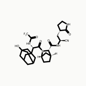 N#C[C@H](C[C@@H]1CCNC1=O)NC(=O)[C@@H]1[C@H]2CC[C@H](C2)N1C(=O)[C@@H](NC(=O)C(F)(F)F)C12CC3CC(CC(O)(C3)C1)C2